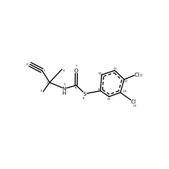 C#CC(C)(C)NC(=O)Sc1ccc(Cl)c(Cl)c1